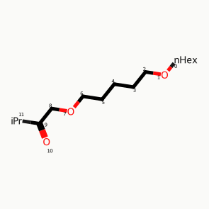 CCCCCCOCCCCCOCC(=O)C(C)C